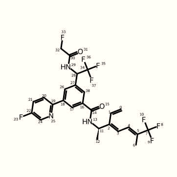 C=C/C(=C\C=C(/C)C(F)(F)F)[C@@H](C)NC(=O)c1cc(-c2ccc(F)cn2)cc(C(NC(=O)CF)C(F)(F)F)c1